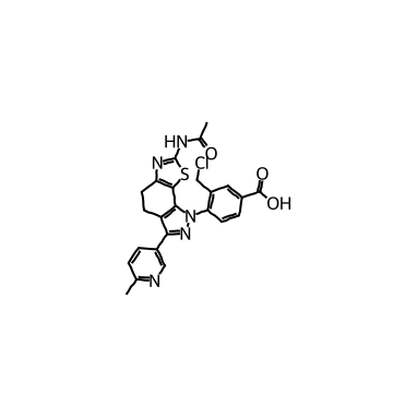 CC(=O)Nc1nc2c(s1)-c1c(c(-c3ccc(C)nc3)nn1-c1ccc(C(=O)O)cc1CCl)CC2